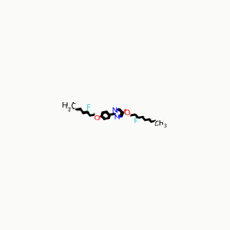 CCCCCCC(F)CCOc1cnc(-c2ccc(OCCC(F)CCCC)cc2)nc1